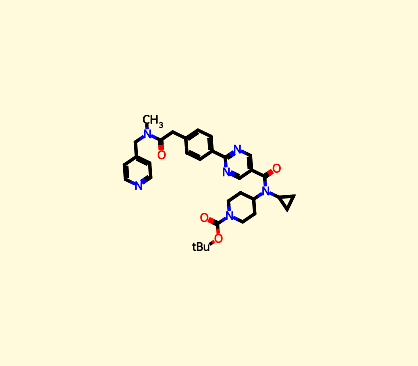 CN(Cc1ccncc1)C(=O)Cc1ccc(-c2ncc(C(=O)N(C3CC3)C3CCN(C(=O)OC(C)(C)C)CC3)cn2)cc1